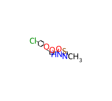 Cc1csc(NC(=O)c2ccc(COc3ccc(Cl)cc3)o2)n1